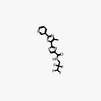 Cc1nc(-c2cccnc2)sc1-c1nc(C(=O)NCC(F)(F)C(F)F)cs1